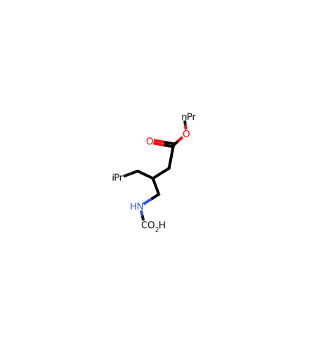 CCCOC(=O)CC(CNC(=O)O)CC(C)C